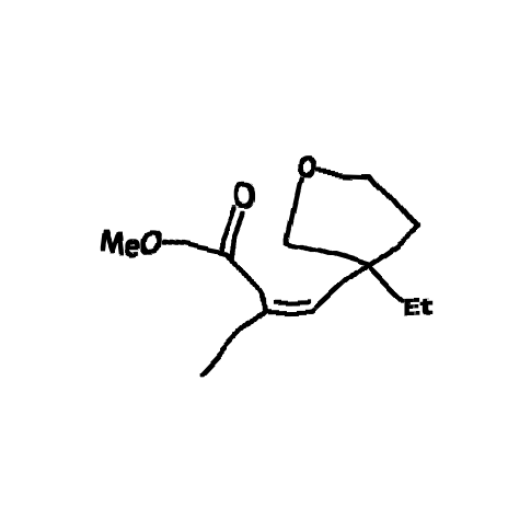 CCC1(C=C(C)C(=O)OC)CCOC1